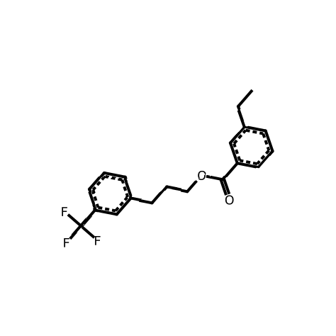 CCc1cccc(C(=O)OCCCc2cccc(C(F)(F)F)c2)c1